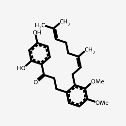 COc1ccc(CCC(=O)c2ccc(O)cc2O)c(CC=C(C)CCC=C(C)C)c1OC